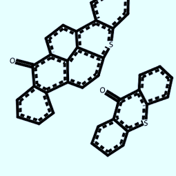 O=c1c2ccccc2c2ccc3sc4ccccc4c4ccc1c2c34.O=c1c2ccccc2sc2ccccc12